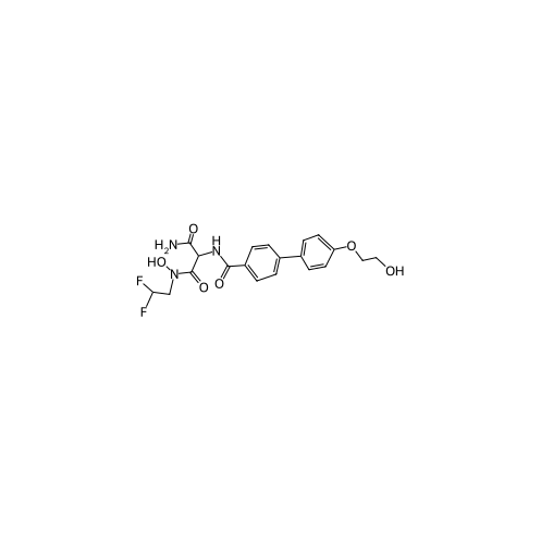 NC(=O)C(NC(=O)c1ccc(-c2ccc(OCCO)cc2)cc1)C(=O)N(O)CC(F)F